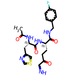 CC(=O)N[C@@H](Cc1cscn1)C(=O)N[C@@H](CCC(=O)C=N)C(=O)NCc1ccc(F)cc1